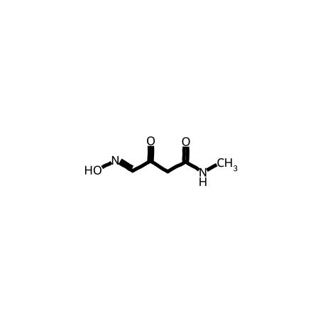 CNC(=O)CC(=O)C=NO